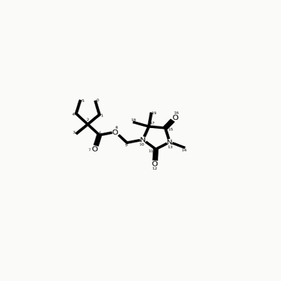 CCC(C)(CC)C(=O)OCN1C(=O)N(C)C(=O)C1(C)C